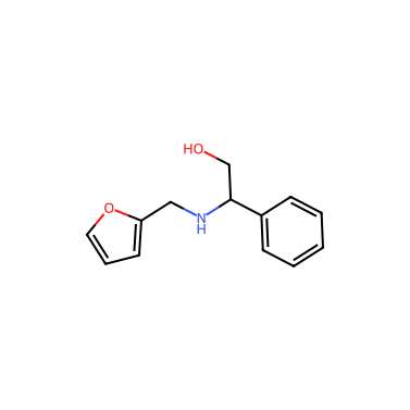 OCC(NCc1ccco1)c1ccccc1